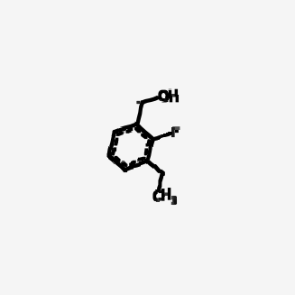 CCc1cccc([CH]O)c1F